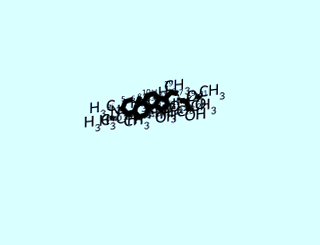 CCN(C)C1CC[C@]23C[C@]24CC[C@]2(C)[C@@H]5[C@H](O[C@@H]([C@H](OC(C)=O)C(C)(C)O)C[C@H]5C)[C@H](O)[C@@]2(C)[C@@H]4CC[C@H]3C1(C)C